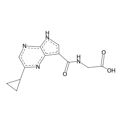 O=C(O)CNC(=O)c1c[nH]c2ncc(C3CC3)nc12